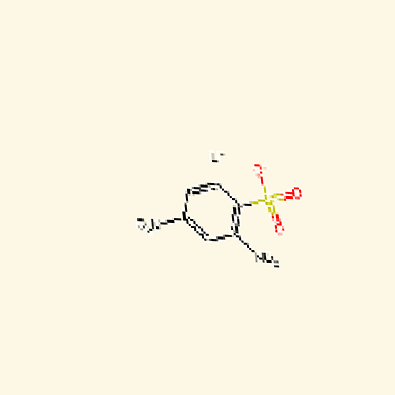 O=[N+]([O-])c1ccc(S(=O)(=O)[O-])c([N+](=O)[O-])c1.[Li+]